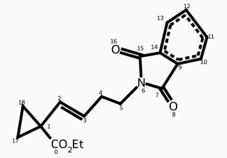 CCOC(=O)C1(C=CCCN2C(=O)c3ccccc3C2=O)CC1